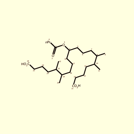 CCCC(=O)OC(CCCC(C)C(C)CCCC(=O)O)CCCC(C)C(C)CCCC(=O)O